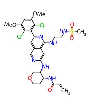 C=CC(=O)N[C@H]1CCOC[C@H]1Nc1cc2c(NCCNS(C)(=O)=O)nc(-c3c(Cl)c(OC)cc(OC)c3Cl)cc2cn1